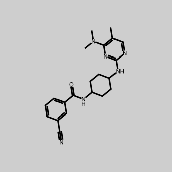 Cc1cnc(NC2CCC(NC(=O)c3cccc(C#N)c3)CC2)nc1N(C)C